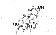 C#C[C@]1(O)C[C@@H](C)[C@H]2[C@@H]3[C@H](I)Cc4cc(O)ccc4[C@H]3CC[C@@]21C